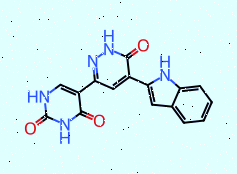 O=c1[nH]cc(-c2cc(-c3cc4ccccc4[nH]3)c(=O)[nH]n2)c(=O)[nH]1